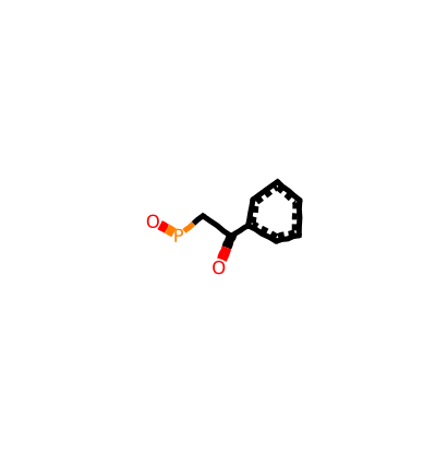 O=PCC(=O)c1ccccc1